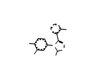 Nc1nonc1C1=NOC(O)N1c1ccc(F)c(Br)c1